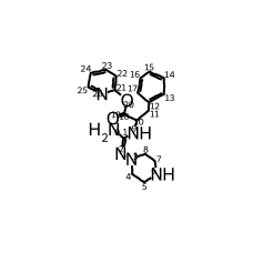 NC(=NN1CCNCC1)NC(Cc1ccccc1)C(=O)Oc1ccccn1